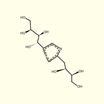 OC[C@H](O)[C@@H](O)[C@@H](O)c1cnc(C[C@H](O)[C@@H](O)CO)cn1